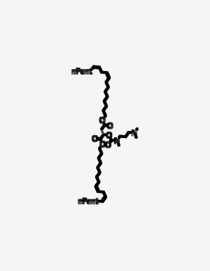 CCCCC/C=C\C/C=C\CCCCCCCCOC(=O)C[C@H](OC(=O)N(C)CCCN(C)C)C(=O)OCCCCCCCC/C=C\C/C=C\CCCCC